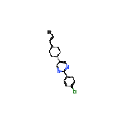 CC/C=C/[C@H]1CC[C@H](c2cnc(-c3ccc(Cl)cc3)nc2)CC1